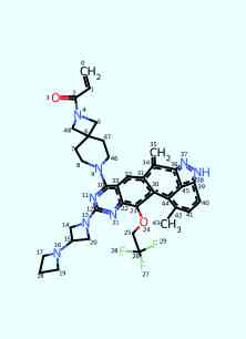 C=CC(=O)N1CC2(CCN(c3nc(N4CC(N5CCC5)C4)nc4c(OCC(F)(F)F)c5c(cc34)c(=C)c3n[nH]c4ccc(C)c5c43)CC2)C1